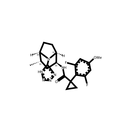 COc1cc(F)c(C2(C(=O)N[C@H]3C[C@H](C)[C@H]4CC[C@@H]3N4c3nnn[nH]3)CC2)c(F)c1